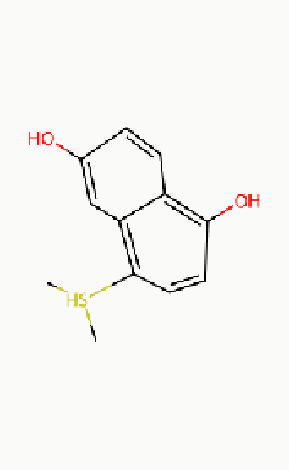 C[SH](C)c1ccc(O)c2ccc(O)cc12